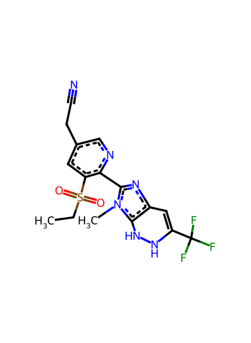 CCS(=O)(=O)c1cc(CC#N)cnc1-c1nc2c(n1C)NNC(C(F)(F)F)=C2